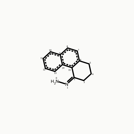 N/N=C1/CCCc2ccc3ccccc3c21